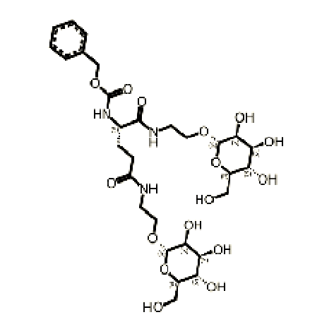 O=C(CC[C@H](NC(=O)OCc1ccccc1)C(=O)NCCO[C@H]1O[C@H](CO)[C@@H](O)[C@H](O)[C@@H]1O)NCCO[C@H]1O[C@H](CO)[C@@H](O)[C@H](O)[C@@H]1O